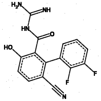 N#Cc1ccc(O)c(C(=O)NC(=N)N)c1-c1cccc(F)c1F